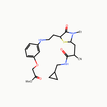 CCN1C(=O)C(CCNc2cccc(OCC(=O)OC)c2)SC1CC(C#N)C(=O)NCC1CC1